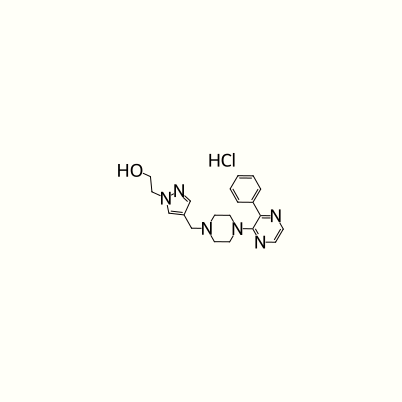 Cl.OCCn1cc(CN2CCN(c3nccnc3-c3ccccc3)CC2)cn1